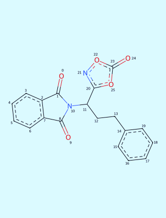 O=C1c2ccccc2C(=O)N1C(CCc1ccccc1)c1noc(=O)o1